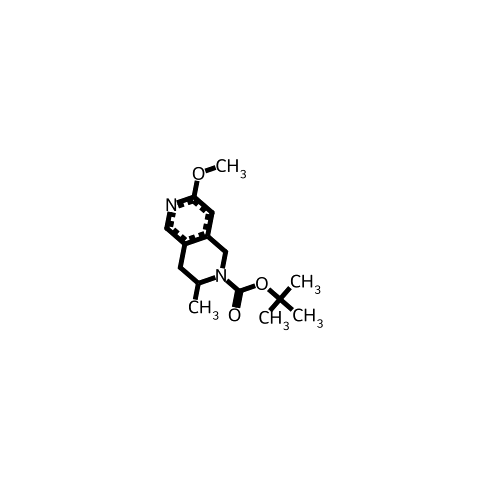 COc1cc2c(cn1)CC(C)N(C(=O)OC(C)(C)C)C2